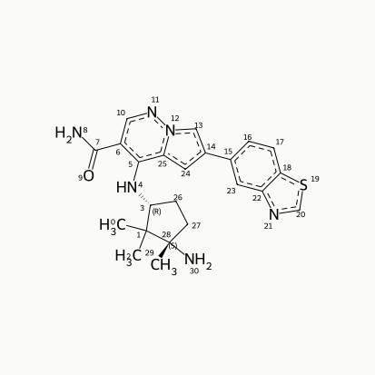 CC1(C)[C@H](Nc2c(C(N)=O)cnn3cc(-c4ccc5scnc5c4)cc23)CC[C@]1(C)N